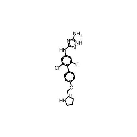 Nc1nc(Nc2cc(Cl)c(-c3ccc(OC[C@H]4CCCN4)cc3)c(Cl)c2)n[nH]1